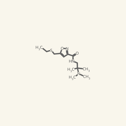 CCSCc1cc(C(=O)NCC(C)(C)N(C)C)no1